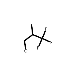 CC(C[O])C(F)(F)F